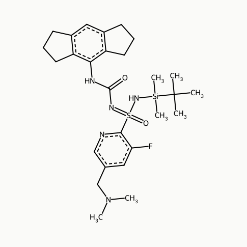 CN(C)Cc1cnc(S(=O)(=NC(=O)Nc2c3c(cc4c2CCC4)CCC3)N[Si](C)(C)C(C)(C)C)c(F)c1